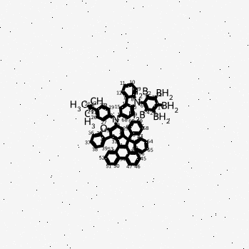 Bc1c(B)c(B)c(-n2c3ccccc3c3cc(N(c4ccc(C(C)(C)C)cc4)c4cc5c(c6c4oc4ccccc46)-c4c(c6ccccc6c6ccccc46)C5(c4ccccc4)c4ccccc4)ccc32)c(B)c1B